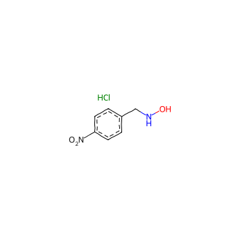 Cl.O=[N+]([O-])c1ccc(CNO)cc1